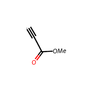 [C]#CC(=O)OC